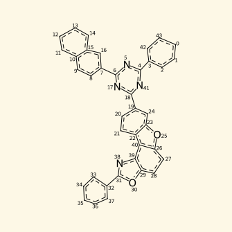 c1ccc(-c2nc(-c3ccc4ccccc4c3)nc(-c3ccc4c(c3)oc3ccc5oc(-c6ccccc6)nc5c34)n2)cc1